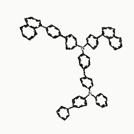 c1ccc(-c2ccc(N(c3ccccc3)c3ccc(-c4ccc(N(c5ccc(-c6ccc(-c7cccc8ccccc78)cc6)cc5)c5ccc(-c6cccc7ccccc67)cc5)cc4)cc3)cc2)cc1